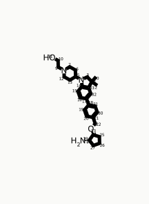 CC1(C)CN(C2CCN(CCO)CC2)c2ccc(-c3ccc(CO[C@H]4CCC[C@@H]4N)cc3)cc21